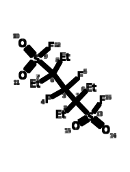 CCC(CC)(C(F)(F)C(CC)(CC)S(=O)(=O)F)S(=O)(=O)F